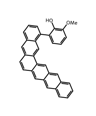 COc1cccc(-c2cccc3cc4ccc5cc6cc7ccccc7cc6cc5c4cc23)c1O